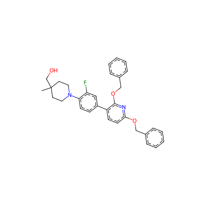 CC1(CO)CCN(c2ccc(-c3ccc(OCc4ccccc4)nc3OCc3ccccc3)cc2F)CC1